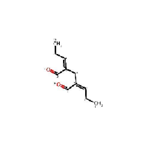 CCC=C(C=O)CC(C=O)=CCC